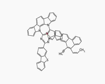 C#Cc1c(/C=C\C)c2ccccc2c2ccc(-c3cccc(-n4c5ccccc5c5ccc6c7ccccc7n(-c7nc(-c8ccccc8)nc(-c8ccc9c(c8)sc8ccccc89)n7)c6c54)c3)cc12